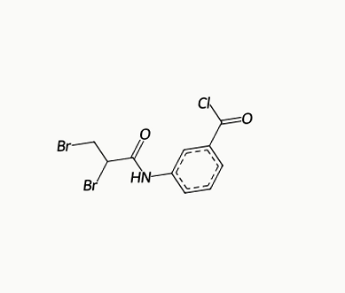 O=C(Cl)c1cccc(NC(=O)C(Br)CBr)c1